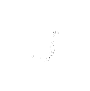 COCCOC(=O)Oc1ccc(-c2cnc3ccc(NC(=O)NCCCCO[Si](C)(C)C(C)(C)C)nc3n2)cc1